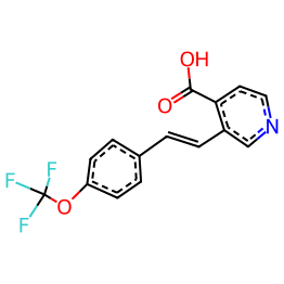 O=C(O)c1ccncc1C=Cc1ccc(OC(F)(F)F)cc1